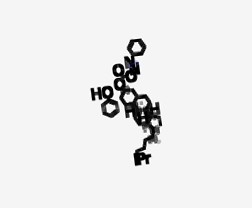 CC(C)CCC[C@@H](C)[C@H]1CC[C@H]2[C@@H]3CC=C4C[C@@H](OC(=O)O/N=N/c5ccccc5)CC[C@]4(C)[C@H]3CC[C@]12C.Oc1ccccc1